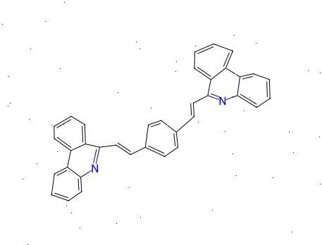 C(=Cc1nc2ccccc2c2ccccc12)c1ccc(C=Cc2nc3ccccc3c3ccccc23)cc1